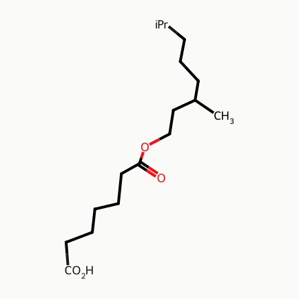 CC(C)CCCC(C)CCOC(=O)CCCCCC(=O)O